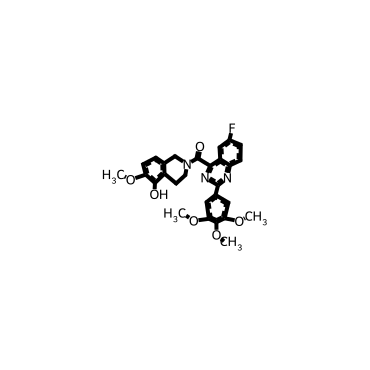 COc1ccc2c(c1O)CCN(C(=O)c1nc(-c3cc(OC)c(OC)c(OC)c3)nc3ccc(F)cc13)C2